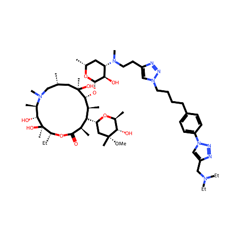 CC[C@H]1OC(=O)[C@H](C)C([C@H]2C[C@@](C)(OC)[C@@H](O)[C@H](C)O2)[C@H](C)[C@@H](O[C@@H]2O[C@H](C)C[C@H](N(C)CCc3cn(CCCCc4ccc(-n5cc(CN(CC)CC)nn5)cc4)nn3)[C@H]2O)[C@](C)(O)C[C@@H](C)CN(C)[C@H](C)[C@@H](O)[C@]1(C)O